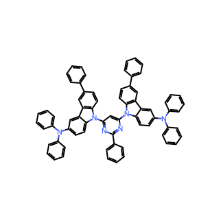 c1ccc(-c2ccc3c(c2)c2cc(N(c4ccccc4)c4ccccc4)ccc2n3-c2cc(-n3c4ccc(-c5ccccc5)cc4c4cc(N(c5ccccc5)c5ccccc5)ccc43)nc(-c3ccccc3)n2)cc1